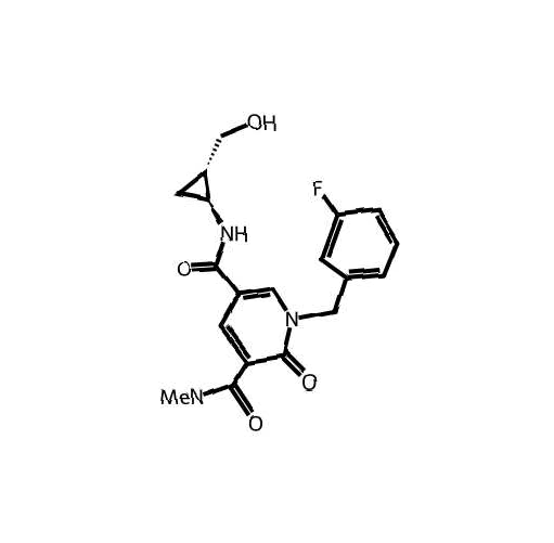 CNC(=O)c1cc(C(=O)N[C@H]2C[C@@H]2CO)cn(Cc2cccc(F)c2)c1=O